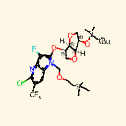 CC(C)(C)[Si](C)(C)O[C@@H]1CO[C@H]2[C@@H]1OC[C@H]2Oc1c(F)c2nc(Cl)c(C(F)(F)F)cc2n1COCC[Si](C)(C)C